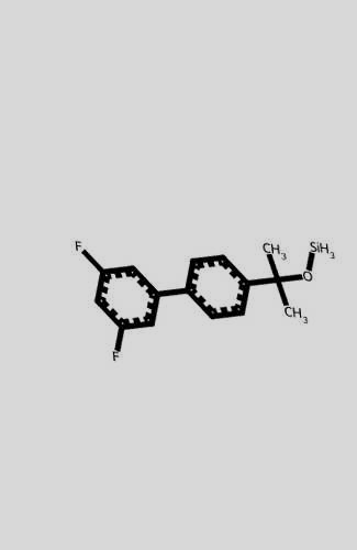 CC(C)(O[SiH3])c1ccc(-c2cc(F)cc(F)c2)cc1